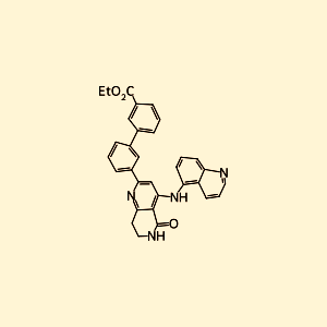 CCOC(=O)c1cccc(-c2cccc(-c3cc(Nc4cccc5ncccc45)c4c(n3)CCNC4=O)c2)c1